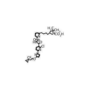 CC1(C)CC(CCCCc2cccc(S(=O)(=O)NC(=O)c3ccc(-n4ccc(OCCC5(C(F)(F)F)CC5)n4)nc3Cl)n2)CN1C(=O)O